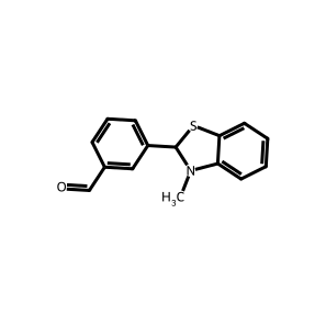 CN1c2ccccc2SC1c1cccc(C=O)c1